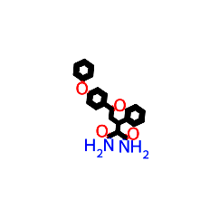 NC(=O)C(C(N)=O)C(CC(=O)c1ccc(Oc2ccccc2)cc1)c1ccccc1